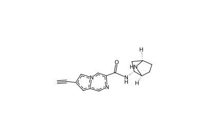 C#Cc1cc2cnc(C(=O)N[C@@H]3C[C@H]4CC[C@@H]3N4)cn2c1